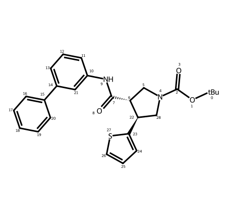 CC(C)(C)OC(=O)N1C[C@@H](C(=O)Nc2cccc(-c3ccccc3)c2)[C@H](c2cccs2)C1